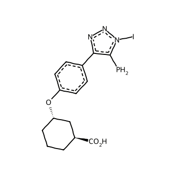 O=C(O)[C@H]1CCC[C@H](Oc2ccc(-c3nnn(I)c3P)cc2)C1